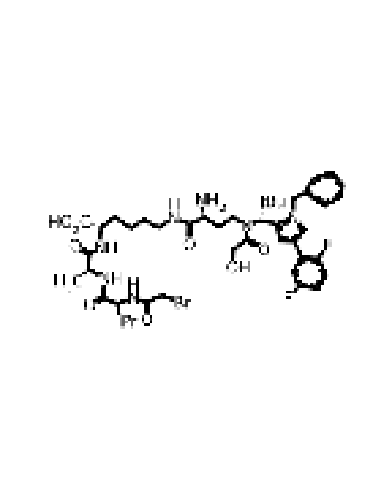 CC(C)C(NC(=O)CBr)C(=O)N[C@@H](C)C(=O)N[C@@H](CCCCNC(=O)[C@@H](N)CCN(C(=O)CO)[C@@H](c1cc(-c2cc(F)ccc2F)cn1Cc1ccccc1)C(C)(C)C)C(=O)O